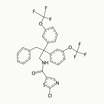 O=C(NCC(Cc1ccccc1)(c1cccc(OC(F)(F)F)c1)c1cccc(OC(F)(F)F)c1)c1cnc(Cl)s1